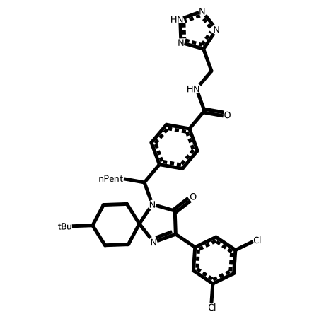 CCCCCC(c1ccc(C(=O)NCc2nn[nH]n2)cc1)N1C(=O)C(c2cc(Cl)cc(Cl)c2)=NC12CCC(C(C)(C)C)CC2